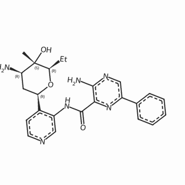 CC[C@H]1O[C@@H](c2ccncc2NC(=O)c2nc(-c3ccccc3)cnc2N)C[C@@H](N)[C@]1(C)O